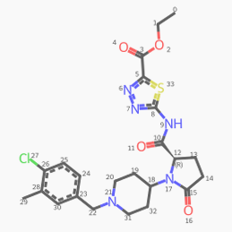 CCOC(=O)c1nnc(NC(=O)[C@H]2CCC(=O)N2C2CCN(Cc3ccc(Cl)c(C)c3)CC2)s1